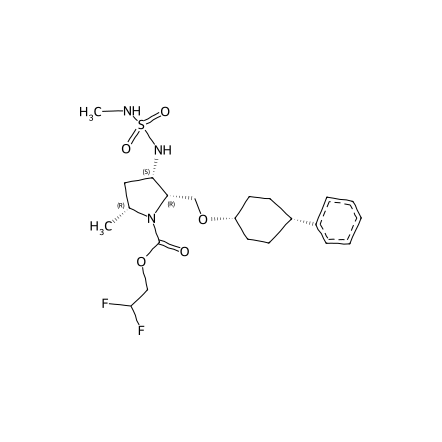 CNS(=O)(=O)N[C@H]1C[C@@H](C)N(C(=O)OCC(F)F)[C@H]1CO[C@H]1CC[C@@H](c2ccccc2)CC1